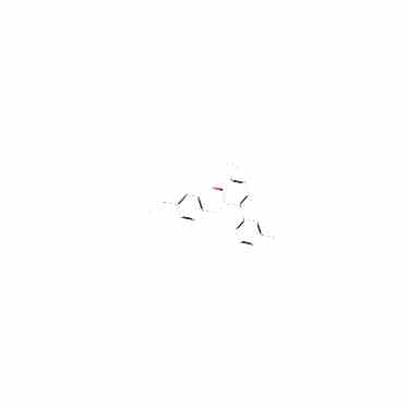 CCOCc1ccc(Cn2c(-c3cccc(C)c3)cc(C(F)(F)F)c(C#N)c2=O)cc1